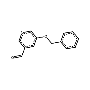 O=Cc1cncc(OCc2ccccc2)c1